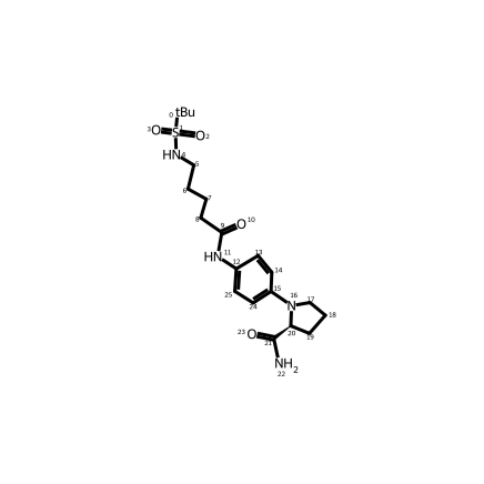 CC(C)(C)S(=O)(=O)NCCCCC(=O)Nc1ccc(N2CCC[C@H]2C(N)=O)cc1